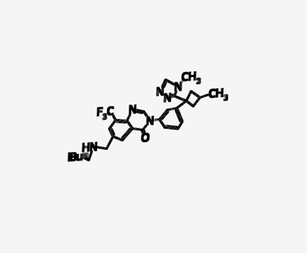 CC[C@H](C)CNCc1cc(C(F)(F)F)c2ncn(-c3cccc(C4(c5nncn5C)CC(C)C4)c3)c(=O)c2c1